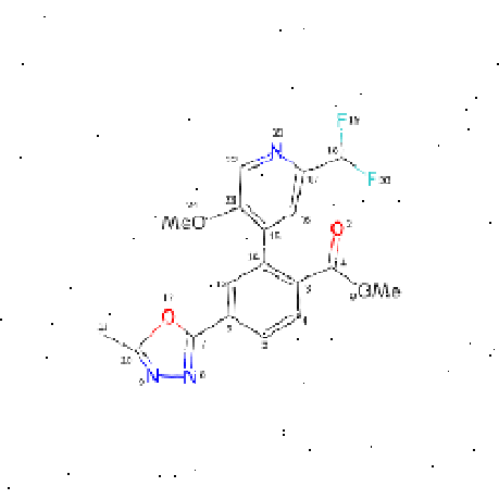 COC(=O)c1ccc(-c2nnc(C)o2)cc1-c1cc(C(F)F)ncc1OC